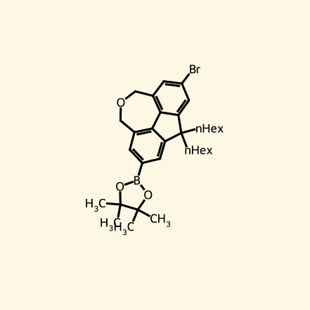 CCCCCCC1(CCCCCC)c2cc(Br)cc3c2-c2c(cc(B4OC(C)(C)C(C)(C)O4)cc21)COC3